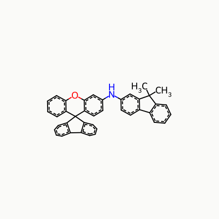 CC1(C)c2ccccc2-c2ccc(Nc3ccc4c(c3)Oc3ccccc3C43c4ccccc4-c4ccccc43)cc21